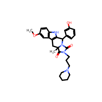 COc1ccc2[nH]c3c(c2c1)CC1(C)C(=O)N(CCCN2CCCCC2)C(=O)N1C3c1cccc(O)c1